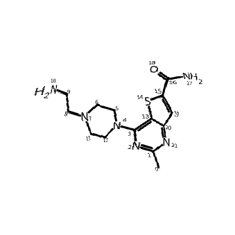 Cc1nc(N2CCN(CCN)CC2)c2sc(C(N)=O)cc2n1